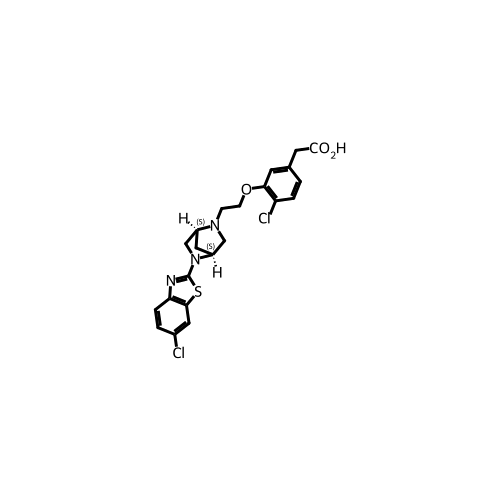 O=C(O)Cc1ccc(Cl)c(OCCN2C[C@@H]3C[C@H]2CN3c2nc3ccc(Cl)cc3s2)c1